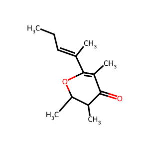 CC/C=C(\C)C1=C(C)C(=O)C(C)C(C)O1